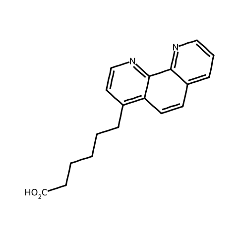 O=C(O)CCCCCc1ccnc2c1ccc1cccnc12